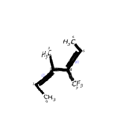 C/C=C(C)\C(=C/C)C(F)(F)F